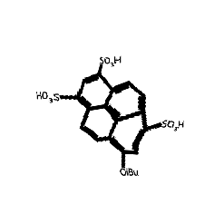 CC(C)COc1cc(S(=O)(=O)O)c2ccc3c(S(=O)(=O)O)cc(S(=O)(=O)O)c4ccc1c2c43